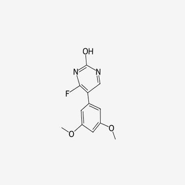 COc1cc(OC)cc(-c2cnc(O)nc2F)c1